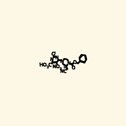 N#CC[C@H]1CN(c2nc(Cl)nc(C(=O)O)c2[N+](=O)[O-])CCN1C(=O)OCc1ccccc1